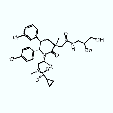 CCC(CN(C)S(=O)(=O)C1CC1)N1C(=O)[C@@](C)(CC(=O)NCC(O)CO)C[C@H](c2cccc(Cl)c2)[C@H]1c1ccc(Cl)cc1